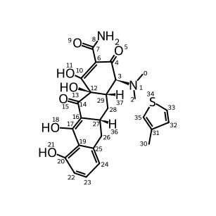 CN(C)[C@@H]1C(=O)C(C(N)=O)=C(O)[C@@]2(O)C(=O)C3=C(O)c4c(O)cccc4C[C@H]3C[C@@H]12.Cc1ccsc1